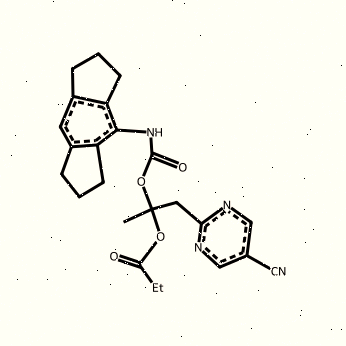 CCC(=O)OC(C)(Cc1ncc(C#N)cn1)OC(=O)Nc1c2c(cc3c1CCC3)CCC2